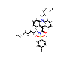 Cc1ccc(S(=O)(=O)N(CCCCCC(=O)O)C(=O)c2c3ccccc3[n+](CCCS(=O)(=O)O)c3ccccc23)cc1